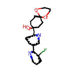 OC1(c2ccc(-c3ncccc3F)cn2)CCC2(CC1)OCCO2